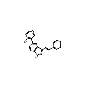 Clc1ccncc1-c1ccc2[nH]nc(C=Cc3ccccc3)c2c1